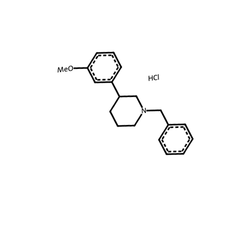 COc1cccc(C2CCCN(Cc3ccccc3)C2)c1.Cl